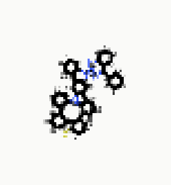 c1ccc(-c2nc(-n3c4ccccc4c4cc5c(cc43)c3cccc4c6cccc7sc8cccc(c9ccccc9n5c43)c8c76)nc3ccccc23)cc1